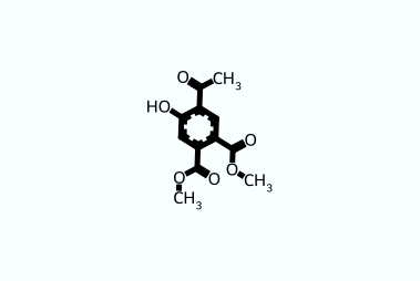 COC(=O)c1cc(O)c(C(C)=O)cc1C(=O)OC